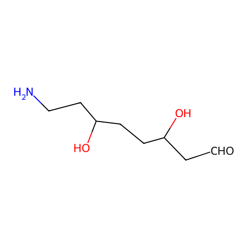 NCCC(O)CCC(O)CC=O